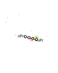 CCCC1=CC=C(C2CCC(C3CCC(C4CCC(CCC)CC4)CC3)OC2)C(F)(F)C1(F)F